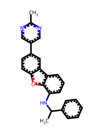 Cc1ncc(-c2ccc3oc4c(NC(C)c5ccccc5)cccc4c3c2)cn1